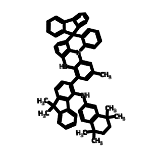 Cc1cc(-c2ccc3c(c2Nc2ccc4c(c2)C(C)(C)CCC4(C)C)-c2ccccc2C3(C)C)c2c(c1)N1c3ccccc3C3(c4ccccc4-c4ccccc43)c3cccc(c31)B2